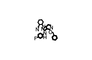 N#CC1CCCCC1n1nc(Nc2ccc(F)cc2)c2c(OCc3ccccc3)nccc21